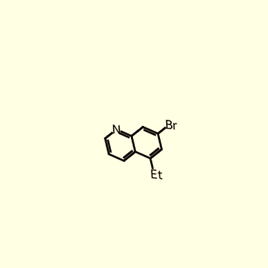 CCc1cc(Br)cc2ncccc12